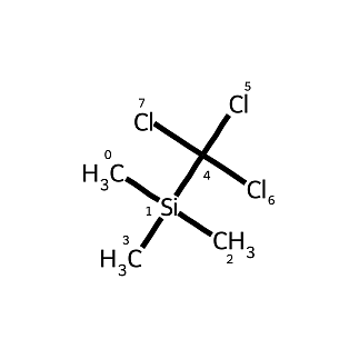 C[Si](C)(C)C(Cl)(Cl)Cl